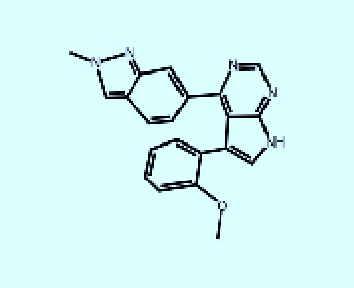 COc1ccccc1-c1c[nH]c2ncnc(-c3ccc4cn(C)nc4c3)c12